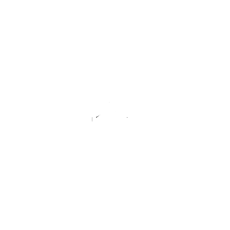 CC(C)(C)C1C[C@@H]1F